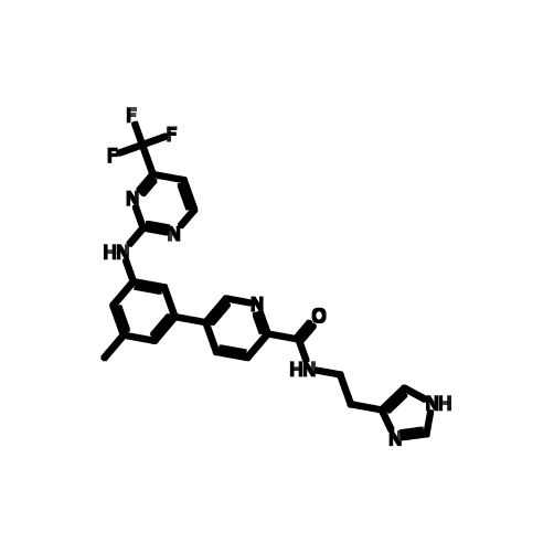 Cc1cc(Nc2nccc(C(F)(F)F)n2)cc(-c2ccc(C(=O)NCCc3c[nH]cn3)nc2)c1